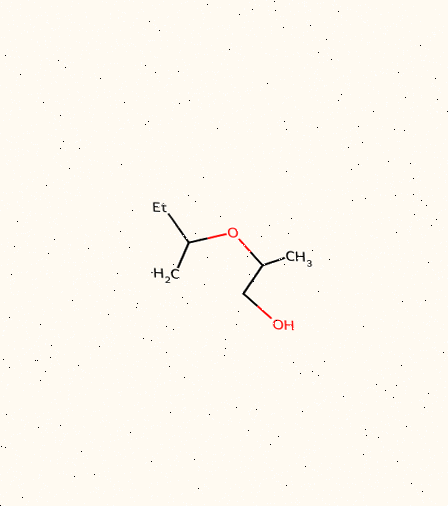 [CH2]C(CC)OC(C)CO